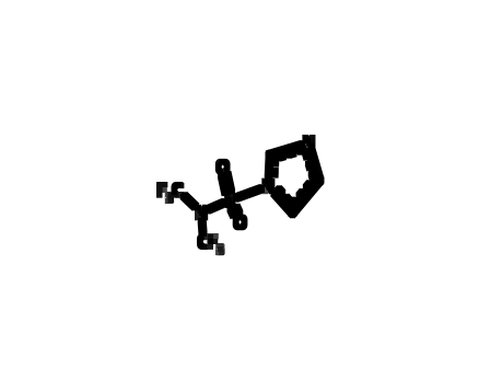 O=S(=O)(N(C(F)(F)F)C(F)(F)F)n1ccnc1